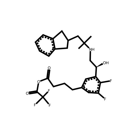 CC(C)(CC1Cc2ccccc2C1)NC[C@@H](O)c1cc(CCCC(=O)OC(=O)C(F)(F)F)cc(F)c1F